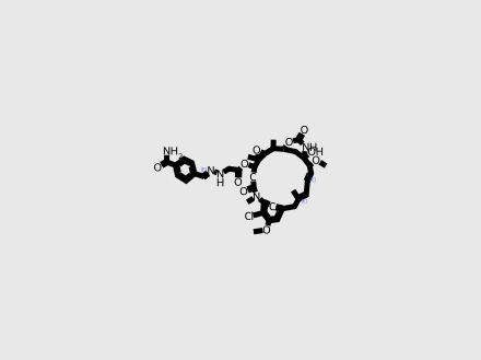 COc1cc2cc(c1Cl)N(C)C(=O)CC(OC(=O)CN/N=C/c1ccc(C(N)=O)cc1)C1(C)OC1C(C)C1CC(O)(NC(=O)O1)C(OC)/C=C/C=C(\C)C2